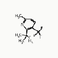 Cc1ccc(C(F)(F)F)c(C(C)(C)C)n1